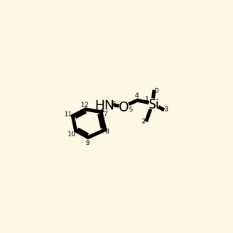 C[Si](C)(C)CONc1ccccc1